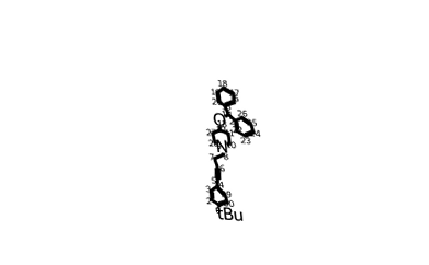 CC(C)(C)c1ccc(C#CCCN2CCC(OC(c3ccccc3)c3ccccc3)CC2)cc1